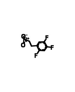 O=[N+]([O-])CCc1cc(F)c(F)cc1F